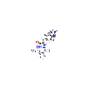 CO[C@@H]1CCC[C@H]1NC1=N/C(=C\c2ccc3nccnc3c2)C(=O)N1